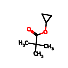 CC(C)(C)C(=O)OC1CC1